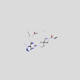 C=CC(=O)N1CC2(CCN(c3nc(N[C@H](CC(=O)NC)CC(C)C)c4c(ncn4C)n3)C2)C1